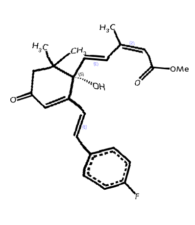 COC(=O)/C=C(C)\C=C\[C@@]1(O)C(/C=C/c2ccc(F)cc2)=CC(=O)CC1(C)C